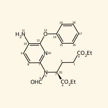 CCOC(=O)CC[C@@H](C(=O)OCC)N(C=O)c1ccc(N)c(Oc2ccccc2)n1